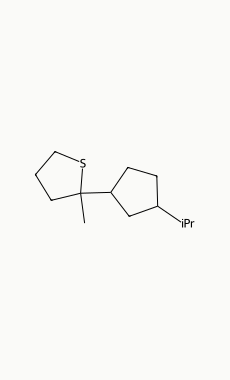 CC(C)C1CCC(C2(C)CCCS2)C1